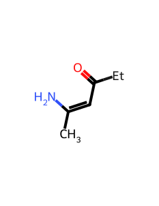 CCC(=O)/C=C(/C)N